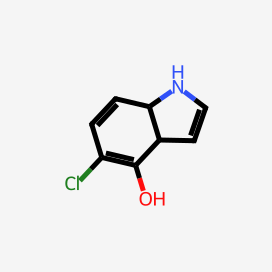 OC1=C(Cl)C=CC2NC=CC12